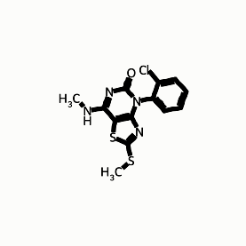 CNc1nc(=O)n(-c2ccccc2Cl)c2nc(SC)sc12